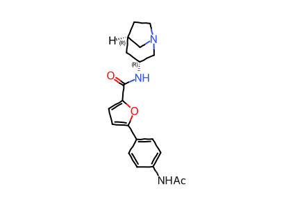 CC(=O)Nc1ccc(-c2ccc(C(=O)N[C@@H]3C[C@H]4CCN(C4)C3)o2)cc1